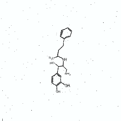 CC(CCc1ccccc1)NC(CN)C(O)c1ccc(O)c(O)c1